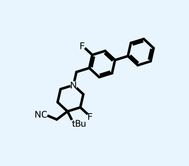 CC(C)(C)C1(CC#N)CCN(Cc2ccc(-c3ccccc3)cc2F)CC1F